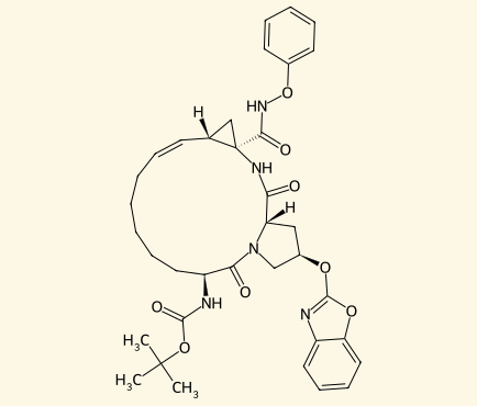 CC(C)(C)OC(=O)N[C@H]1CCCCC/C=C\[C@@H]2C[C@@]2(C(=O)NOc2ccccc2)NC(=O)[C@@H]2C[C@@H](Oc3nc4ccccc4o3)CN2C1=O